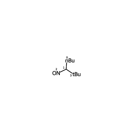 CCCCC(N=O)C(C)(C)C